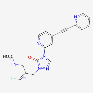 O=C(O)NC/C(=C\F)Cn1ncn(-c2cc(C#Cc3ccccn3)ccn2)c1=O